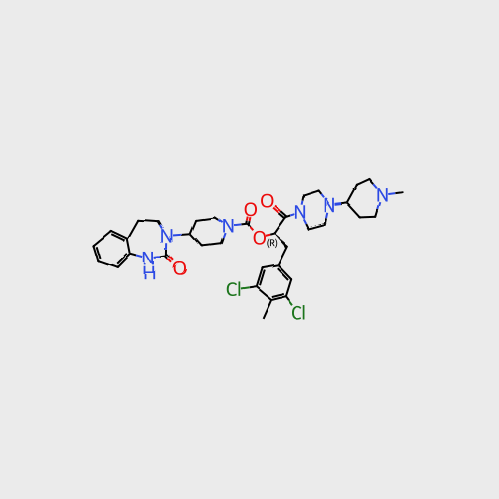 Cc1c(Cl)cc(C[C@@H](OC(=O)N2CCC(N3CCc4ccccc4NC3=O)CC2)C(=O)N2CCN(C3CCN(C)CC3)CC2)cc1Cl